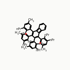 CCCc1cc(C)cc(-c2c(-c3cc(C)cc(CCC)c3CCC)c(-c3cc(C)cc(CCC)c3CCC)c3c(c2-c2cc(C)cc(CCC)c2CCC)=c2ccccc2=3)c1CCC